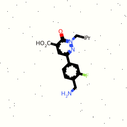 CC(C)Cn1nc(-c2ccc(CN)c(F)c2)cc(C(=O)O)c1=O